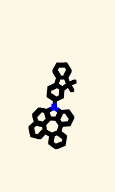 CC1(C)c2ccccc2-c2ccc(-n3c4cccc5c4c4c6c(cccc6ccc43)-c3ccccc3-5)cc21